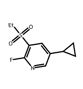 CCS(=O)(=O)c1cc(C2CC2)cnc1F